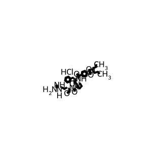 CCCN(CCC)S(=O)(=O)c1ccc(C(=O)N[C@H](Cc2ccccc2)C(=O)N2CCC[C@H]2C(=O)N[C@H](C=O)CCCNC(=N)N)cc1.Cl